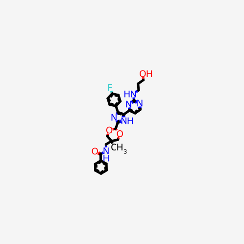 CC1(CNC(=O)c2ccccc2)COC(c2nc(-c3ccc(F)cc3)c(-c3ccnc(NCCCO)n3)[nH]2)OC1